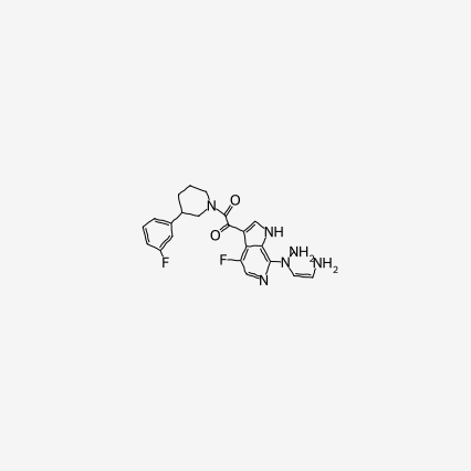 N/C=C\N(N)c1ncc(F)c2c(C(=O)C(=O)N3CCCC(c4cccc(F)c4)C3)c[nH]c12